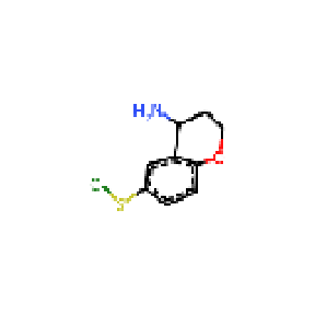 NC1CCOc2ccc(SCl)cc21